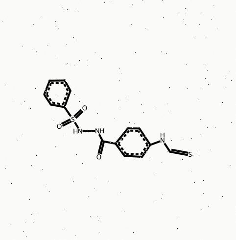 O=C(NNS(=O)(=O)c1ccccc1)c1ccc(N[C]=S)cc1